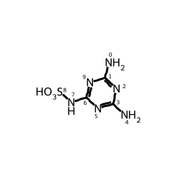 Nc1nc(N)nc(NS(=O)(=O)O)n1